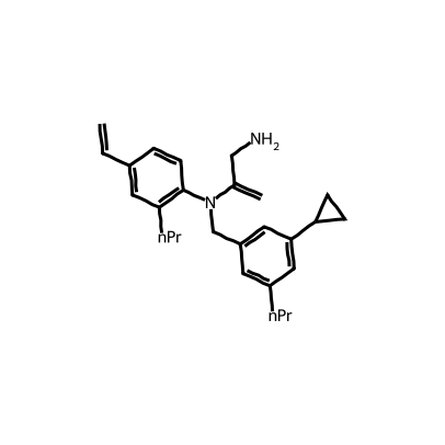 C=Cc1ccc(N(Cc2cc(CCC)cc(C3CC3)c2)C(=C)CN)c(CCC)c1